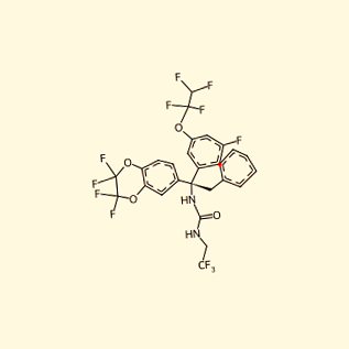 O=C(NCC(F)(F)F)N[C@@](Cc1ccccc1)(c1cc(F)cc(OC(F)(F)C(F)F)c1)c1ccc2c(c1)OC(F)(F)C(F)(F)O2